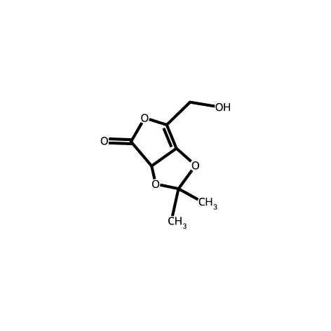 CC1(C)OC2=C(CO)OC(=O)C2O1